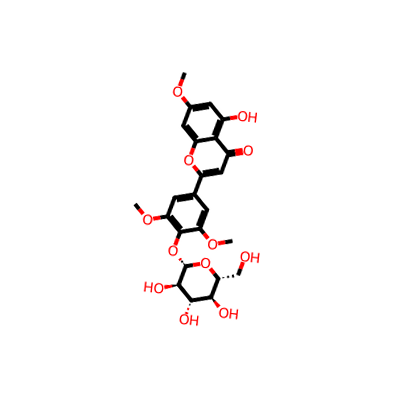 COc1cc(O)c2c(=O)cc(-c3cc(OC)c(O[C@@H]4O[C@H](CO)[C@@H](O)[C@H](O)[C@H]4O)c(OC)c3)oc2c1